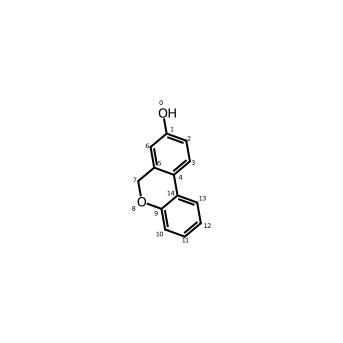 Oc1ccc2c(c1)COc1ccccc1-2